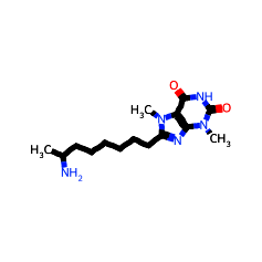 CC(N)CCCCCCc1nc2c(c(=O)[nH]c(=O)n2C)n1C